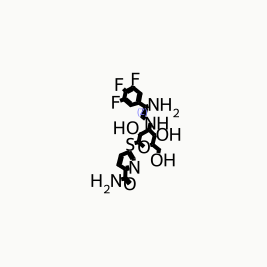 NC(=O)c1ccc(SC2OC(CO)C(O)C(N/C=C(\N)c3cc(F)c(F)c(F)c3)C2O)cn1